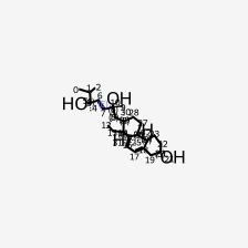 CC(C)[C@](C)(O)/C=C/[C@](C)(O)[C@H]1CC[C@H]2C3=CC=C4C[C@@H](O)CC[C@]4(C)[C@H]3CC[C@@]21C